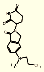 CCCN(C)c1ccc2c(c1)CN(C1CCC(=O)NC1=O)C2=O